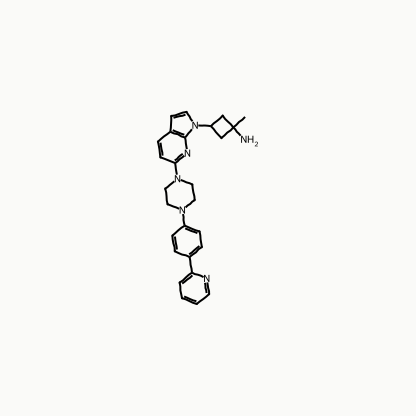 CC1(N)CC(n2ccc3ccc(N4CCN(c5ccc(-c6ccccn6)cc5)CC4)nc32)C1